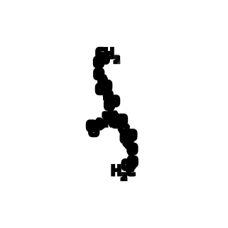 C=CC(=O)OCCCOc1ccc(OC(=O)C2CCC(C(=O)OCCc3ccc(OC(=O)C4CCC(C(=O)Oc5ccc(OCCCOC(=O)C=C)cc5)CC4)c4nc(-c5ccc([N+](=O)[O-])cc5)sc34)CC2)cc1